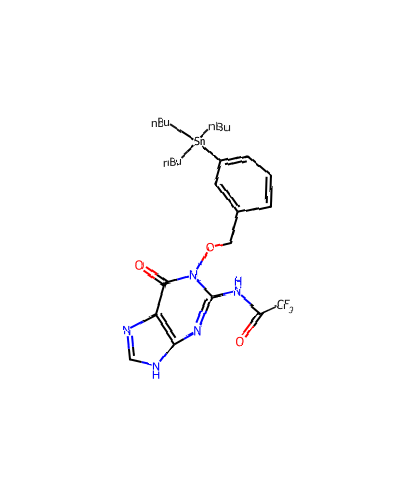 CCC[CH2][Sn]([CH2]CCC)([CH2]CCC)[c]1cccc(COn2c(NC(=O)C(F)(F)F)nc3[nH]cnc3c2=O)c1